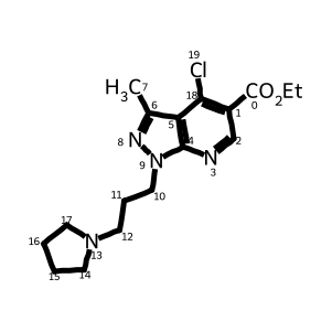 CCOC(=O)c1cnc2c(c(C)nn2CCCN2CCCC2)c1Cl